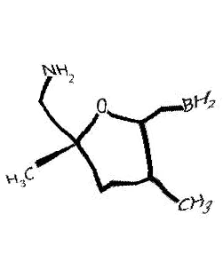 BC1O[C@@](C)(CN)CC1C